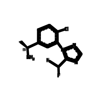 [CH2][C@H](N)c1ccc(Cl)c(-n2ncnc2C(F)F)c1